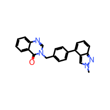 Cn1cc2c(-c3ccc(Cn4cnc5ccccc5c4=O)cc3)cccc2n1